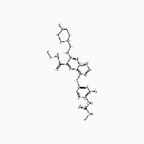 CCNC(=O)c1cc2c(Oc3ccc(NC(=O)NC)c(Cl)c3)ccnc2cc1OCC1CCN(C)CC1